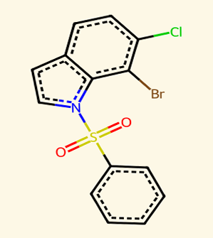 O=S(=O)(c1ccccc1)n1ccc2ccc(Cl)c(Br)c21